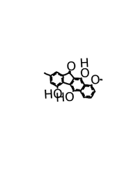 COc1cccc2c(O)c3c(c(O)c12)C(=O)c1cc(C)cc(O)c1-3